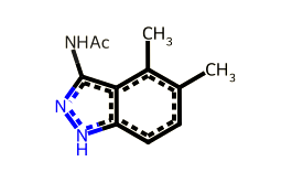 CC(=O)Nc1n[nH]c2ccc(C)c(C)c12